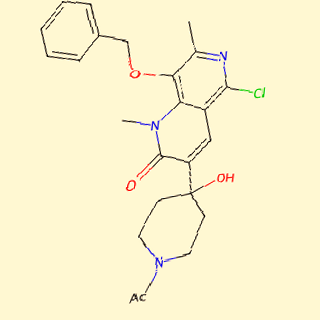 CC(=O)N1CCC(O)(c2cc3c(Cl)nc(C)c(OCc4ccccc4)c3n(C)c2=O)CC1